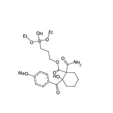 CCO[Si](O)(CCCOC(=O)C1(C(N)=O)CCCCC1(O)C(=O)c1ccc(OC)cc1)OCC